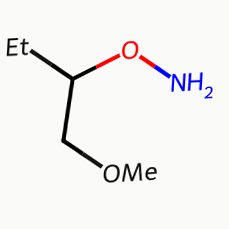 CCC(COC)ON